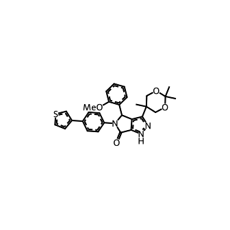 COc1ccccc1C1c2c(C3(C)COC(C)(C)OC3)n[nH]c2C(=O)N1c1ccc(-c2ccsc2)cc1